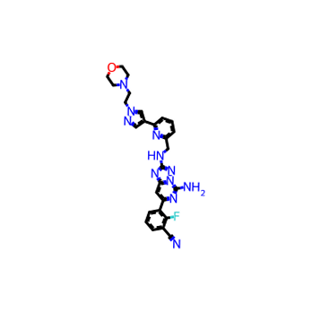 N#Cc1cccc(-c2cc3nc(NCc4cccc(-c5cnn(CCN6CCOCC6)c5)n4)nn3c(N)n2)c1F